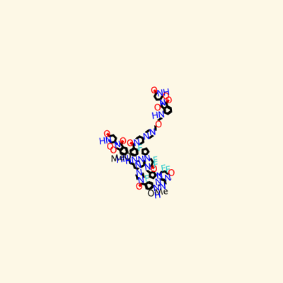 COc1cc(C(=O)N2CCN(CCCCCNc3ccc4c(c3)C(=O)N(C3CCC(=O)NC3=O)C4=O)CC2)c(F)cc1Nc1ncc2c(n1)N(C1CCC(CN3C(=O)C(F)(F)CN(C4CCCC4)c4nc(Nc5cc(F)c(C(=O)N6CCC(N7CCN(CCOCCNc8cccc9c8C(=O)N(C8CCC(=O)NC8=O)C9=O)CC7)CC6)cc5OC)ncc43)C1)CC(F)(F)C(=O)N2C